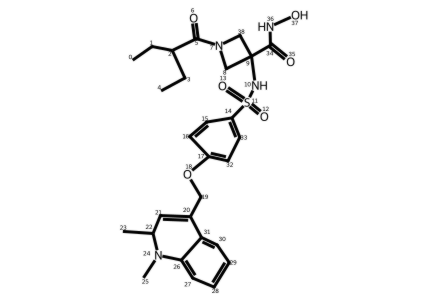 CCC(CC)C(=O)N1CC(NS(=O)(=O)c2ccc(OCC3=CC(C)N(C)c4ccccc43)cc2)(C(=O)NO)C1